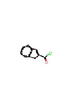 O=C(Cl)C1=Cc2ccccc2C1